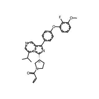 C=CC(=O)N1CC[C@@H](c2nc(-c3ccc(Oc4cccc(OC)c4F)cc3)c3cncc(C(C)C)n23)C1